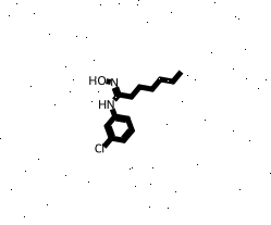 CCCCCC/C(=N/O)Nc1cccc(Cl)c1